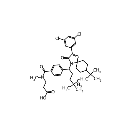 CN(CCC(=O)O)C(=O)c1ccc(C(CCC(C)(C)C)N2C(=O)C(c3cc(Cl)cc(Cl)c3)=NC23CCC(C(C)(C)C)CC3)cc1